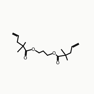 C=CCC(C)(C)C(=O)OCCCOC(=O)C(C)(C)CC=C